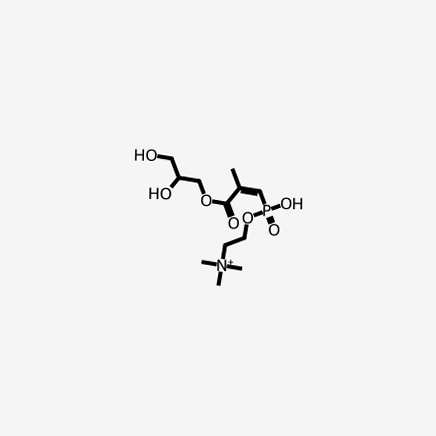 CC(=CP(=O)(O)OCC[N+](C)(C)C)C(=O)OCC(O)CO